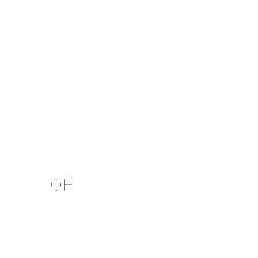 Oc1ccccc1.[CH]1CCCCC1